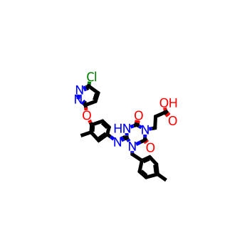 Cc1ccc(Cn2c(=O)n(CCC(=O)O)c(=O)[nH]/c2=N\c2ccc(Oc3ccc(Cl)nn3)c(C)c2)cc1